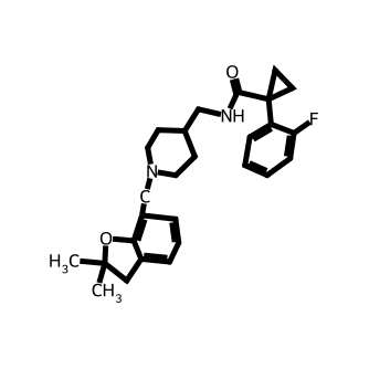 CC1(C)Cc2cccc(CN3CCC(CNC(=O)C4(c5ccccc5F)CC4)CC3)c2O1